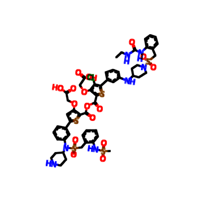 CCNC(=O)Nc1ccccc1CS(=O)(=O)N1CCC(Nc2cccc(-c3sc(C(=O)OC(=O)c4sc(-c5cccc(N(C6CCNCC6)S(=O)(=O)Cc6ccccc6NS(C)(=O)=O)c5)cc4OCC(=O)O)c(OCC(=O)O)c3Cl)c2)CC1